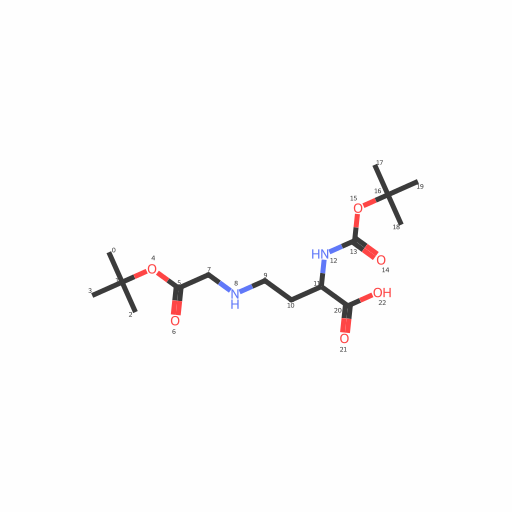 CC(C)(C)OC(=O)CNCCC(NC(=O)OC(C)(C)C)C(=O)O